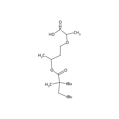 CC(CCOC(C)[PH](=O)O)OC(=O)C(C)(CC(C)(C)C)C(C)(C)C